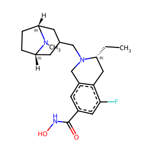 CC[C@@H]1Cc2c(F)cc(C(=O)NO)cc2CN1CC1C[C@H]2CC[C@@H](C1)N2C